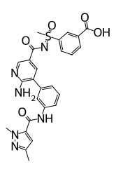 Cc1cc(C(=O)Nc2cccc(-c3cc(C(=O)N=S(C)(=O)c4cccc(C(=O)O)c4)cnc3N)c2)n(C)n1